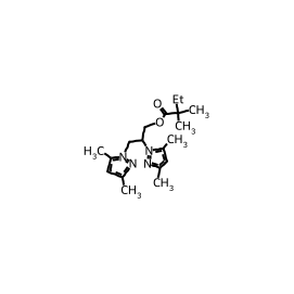 CCC(C)(C)C(=O)OCC(Cn1nc(C)cc1C)n1nc(C)cc1C